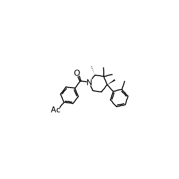 CC(=O)c1ccc(C(=O)N2CC[C@@](C)(c3ccccc3C)C(C)(C)[C@H]2C)cc1